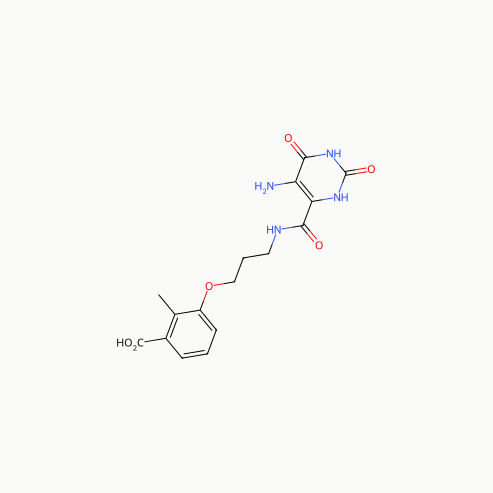 Cc1c(OCCCNC(=O)c2[nH]c(=O)[nH]c(=O)c2N)cccc1C(=O)O